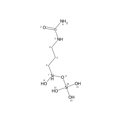 NC(=O)NCCC[SiH](O)O[Si](O)(O)O